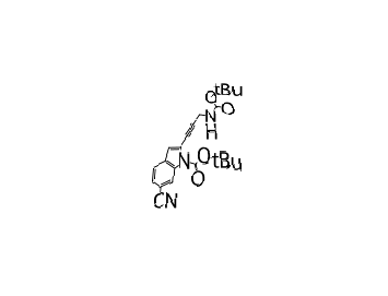 CC(C)(C)OC(=O)NCC#Cc1cc2ccc(C#N)cc2n1C(=O)OC(C)(C)C